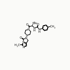 Cc1ccc(NC(=O)N[C@@H](C(=O)N2CCN(N3Cc4cnc(C)n4C3=O)CC2)C(C)(C)C)cc1